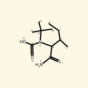 CCC(C)C(C(N)=S)N(C(=O)O)C(C)(C)C